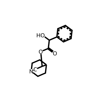 O=C(OC1CN2CCC1CC2)C(O)c1ccccc1